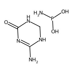 NC1=NC(=O)NCN1.NP(O)O